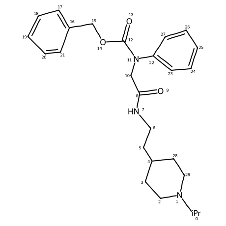 CC(C)N1CCC(CCNC(=O)CN(C(=O)OCc2ccccc2)c2ccccc2)CC1